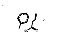 C=CCC(=O)O.Ic1ccccc1